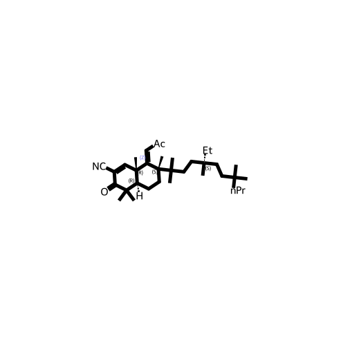 CCCC(C)(C)CC[C@](C)(CC)CCC(C)(C)[C@]1(C)CC[C@H]2C(C)(C)C(=O)C(C#N)=C[C@]2(C)/C1=C/C(C)=O